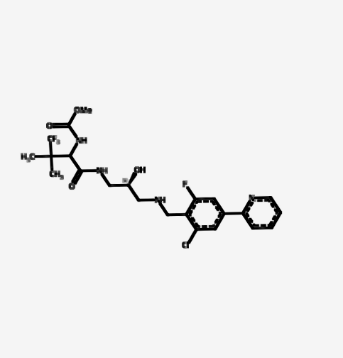 COC(=O)NC(C(=O)NC[C@@H](O)CNCc1c(F)cc(-c2ccccn2)cc1Cl)C(C)(C)C(F)(F)F